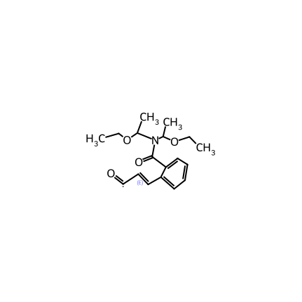 CCOC(C)N(C(=O)c1ccccc1/C=C/[C]=O)C(C)OCC